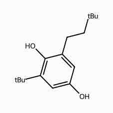 CC(C)(C)CCc1cc(O)cc(C(C)(C)C)c1O